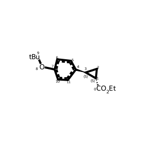 CCOC(=O)[C@H]1C[C@@H]1c1ccc(OC(C)(C)C)cc1